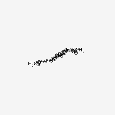 C=CC(=O)OCCCCCCCCOc1ccc(-c2ccc(OC(=O)c3ccc(OCCCCC4CC(=C)C(=O)O4)cc3)cc2)cc1